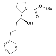 CC(C)(C)OC(=O)N1CCCC1[C@@H](O)CCCc1ccccc1